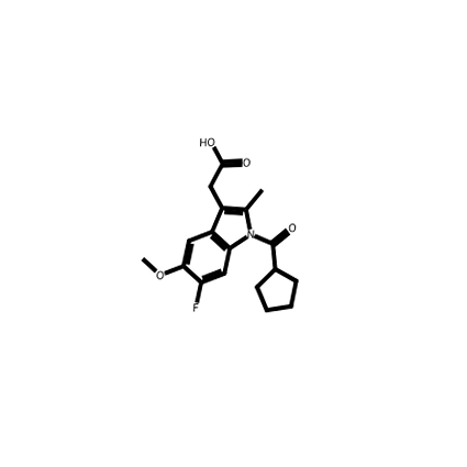 COc1cc2c(CC(=O)O)c(C)n(C(=O)C3CCCC3)c2cc1F